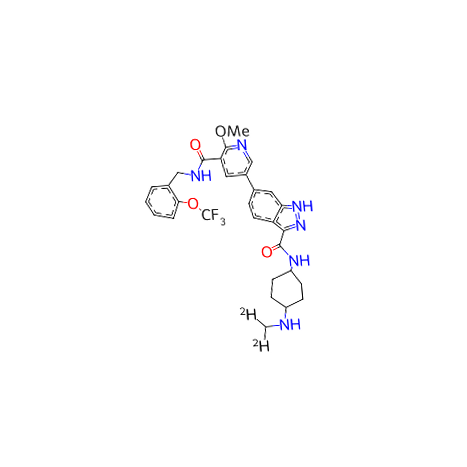 [2H]C([2H])NC1CCC(NC(=O)c2n[nH]c3cc(-c4cnc(OC)c(C(=O)NCc5ccccc5OC(F)(F)F)c4)ccc23)CC1